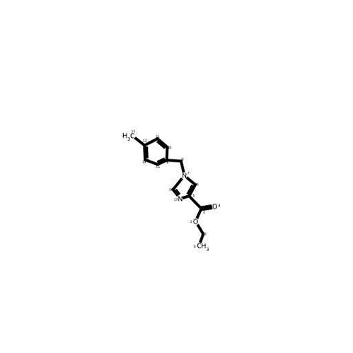 CCOC(=O)c1cn(Cc2ccc(C)cc2)cn1